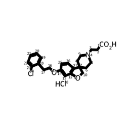 Cl.O=C(O)CCN1CCC2(CC1)COc1cc(OCCc3ccccc3Cl)ccc12